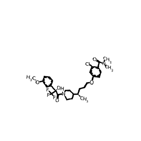 COc1cccc([C@@](O)(C(=O)N2CCC([C@H](C)CCCOc3ccc(C(=O)N(C)C)c(Cl)c3)CC2)C(F)(F)F)c1